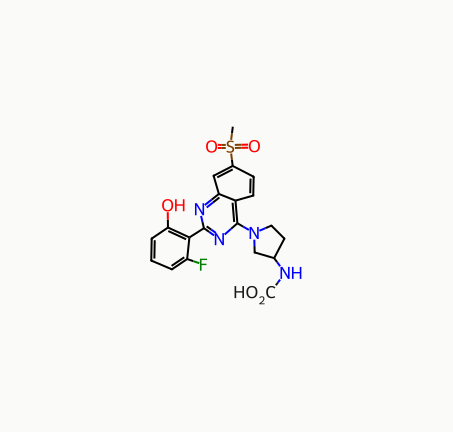 CS(=O)(=O)c1ccc2c(N3CCC(NC(=O)O)C3)nc(-c3c(O)cccc3F)nc2c1